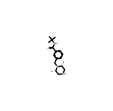 C[C@@H]1CNC[C@H](C)N1Cc1cccc(C(=O)NC(C)(C)C)c1